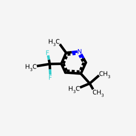 Cc1ncc(C(C)(C)C)cc1C(C)(F)F